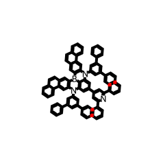 c1ccc(-c2cc(-c3ccccc3)cc(N3c4cc5c(ccc6ccccc65)cc4B4c5cc6ccc7ccccc7c6cc5N(c5cc(-c6ccccc6)cc(-c6ccccc6)c5)c5cc(-c6cc(-c7ccccc7)nc(-c7ccccc7)c6)cc3c54)c2)cc1